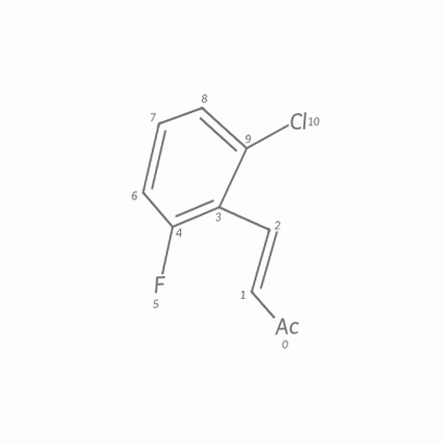 CC(=O)C=Cc1c(F)cccc1Cl